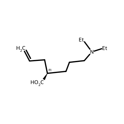 C=CC[C@@H](CCCN(CC)CC)C(=O)O